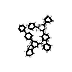 C1=CC(c2ccccc2)CC=C1C1=CC(n2c3ccccc3c3ccc(C4N=C(c5ccccc5)NC(c5ccccc5)N4)cc32)Cc2c1oc1ccccc21